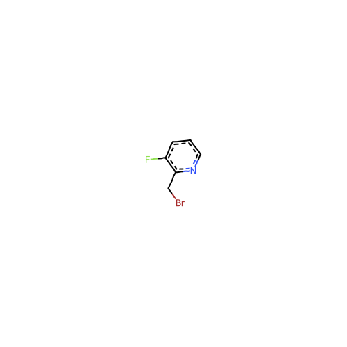 Fc1cccnc1CBr